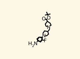 CC(C)(C)OC(=O)C1CCN(CC2CCN(c3ccc(N)cc3F)CC2)CC1